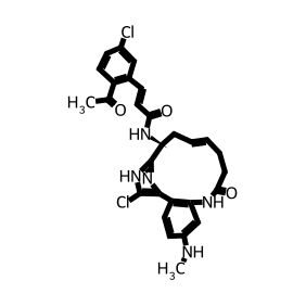 CNc1ccc2c(c1)NC(=O)CC/C=C/C[C@H](NC(=O)/C=C/c1cc(Cl)ccc1C(C)=O)c1nc-2c(Cl)[nH]1